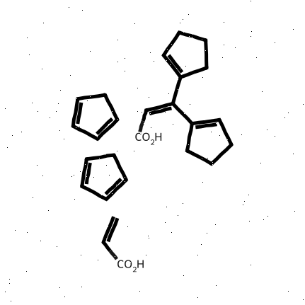 C1=CCC=C1.C1=CCC=C1.C=CC(=O)O.O=C(O)C=C(C1=CCCC1)C1=CCCC1